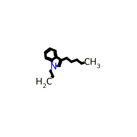 C=CCn1cc(CCCCC)c2ccccc21